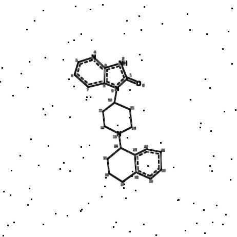 O=c1[nH]c2ncccc2n1C1CCN(C2CCCc3ccccc32)CC1